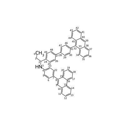 CCC(Nc1ccc(-c2cc3ccccc3c3ccccc23)cc1)c1ccc(-c2ccc(-c3c4ccccc4cc4ccccc34)cc2)cc1